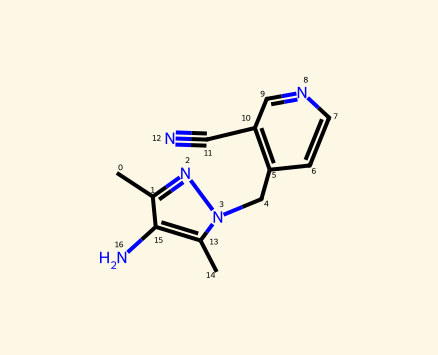 Cc1nn(Cc2ccncc2C#N)c(C)c1N